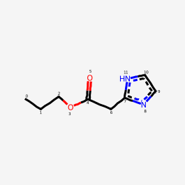 CCCOC(=O)Cc1n[c]c[nH]1